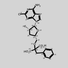 Nc1nc(Cl)nc2c1ncn2[C@@H]1O[C@H](COC(Cc2ccccc2)(C(=O)O)C(=O)O)C[C@@H]1F